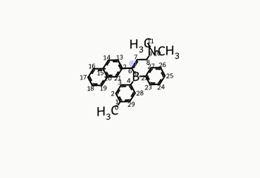 Cc1ccc(B(/C(=C\CN(C)C)c2ccc3ccccc3c2)c2ccccc2)cc1